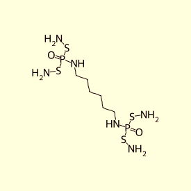 NSP(=O)(NCCCCCCNP(=O)(SN)SN)SN